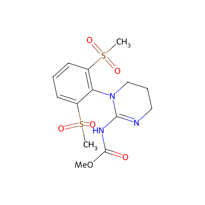 COC(=O)NC1=NCCCN1c1c(S(C)(=O)=O)cccc1S(C)(=O)=O